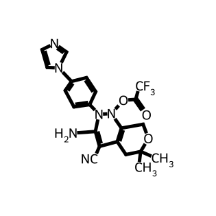 CC1(C)CC2=C(CO1)N(OC(=O)C(F)(F)F)N(c1ccc(-n3ccnc3)cc1)C(N)=C2C#N